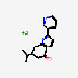 CC(C)C1CC(=O)c2ccc(-c3cccnc3)nc2C1.Cl